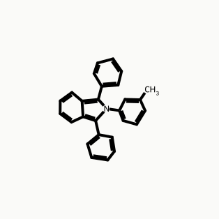 Cc1cccc(-n2c(-c3ccccc3)c3ccccc3c2-c2ccccc2)c1